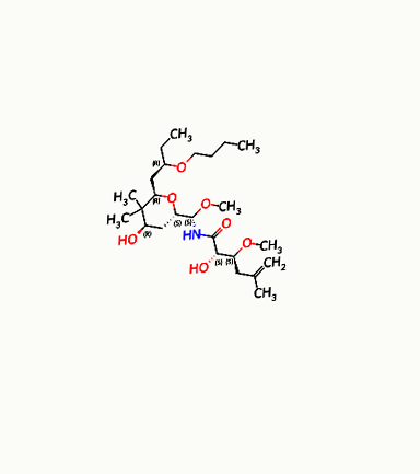 C=C(C)C[C@H](OC)[C@H](O)C(=O)N[C@@H](OC)[C@@H]1C[C@@H](O)C(C)(C)[C@@H](C[C@@H](CC)OCCCC)O1